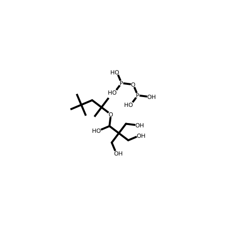 CC(C)(C)CC(C)(C)OC(O)C(CO)(CO)CO.OP(O)OP(O)O